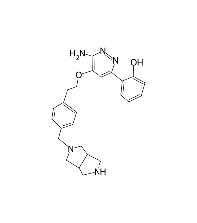 Nc1nnc(-c2ccccc2O)cc1OCCc1ccc(CN2CC3CNCC3C2)cc1